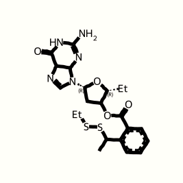 CCSSC(C)c1ccccc1C(=O)OC1C[C@H](N2C=NC3C(=O)NC(N)=NC32)O[C@@H]1CC